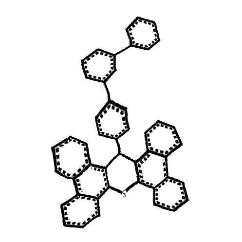 c1ccc(-c2cccc(-c3ccc(C4c5c(c6ccccc6c6ccccc56)Sc5c4c4ccccc4c4ccccc54)cc3)c2)cc1